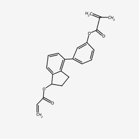 C=CC(=O)OC1CCc2c(-c3cccc(OC(=O)C(=C)C)c3)cccc21